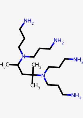 CC(CC(C)(C)N(CCCN)CCCN)N(CCCN)CCCN